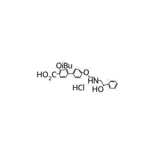 CC(C)COc1cc(-c2ccc(OCCNC[C@H](O)c3ccccc3)cc2)ccc1C(=O)O.Cl